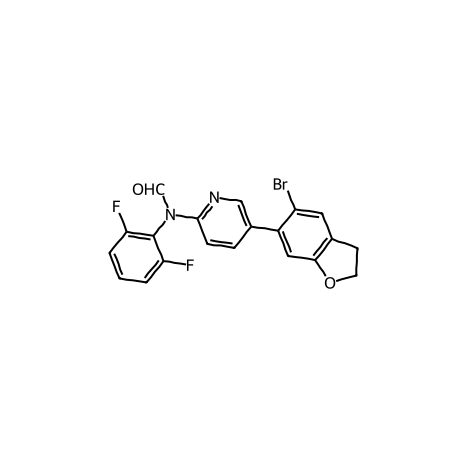 O=CN(c1ccc(-c2cc3c(cc2Br)CCO3)cn1)c1c(F)cccc1F